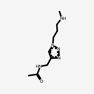 CNCCCn1cc(CNC(C)=O)nn1